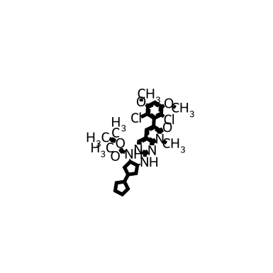 COc1cc(OC)c(Cl)c(-c2cc3cnc(N[C@@H]4CC(C5CCCC5)C[C@@H]4NC(=O)OC(C)(C)C)nc3n(C)c2=O)c1Cl